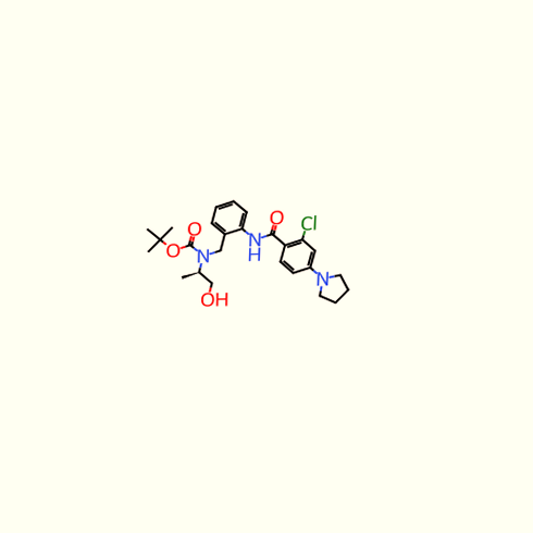 C[C@H](CO)N(Cc1ccccc1NC(=O)c1ccc(N2CCCC2)cc1Cl)C(=O)OC(C)(C)C